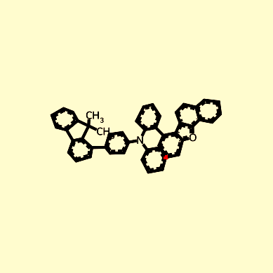 CC1(C)c2ccccc2-c2cccc(-c3ccc(N(c4ccccc4)c4ccccc4-c4cccc5oc6c7ccccc7ccc6c45)cc3)c21